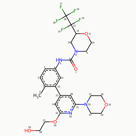 Cc1ccc(NC(=O)N2CCOC(C(F)(F)C(F)(F)F)C2)cc1-c1cc(OCCO)nc(N2CCOCC2)c1